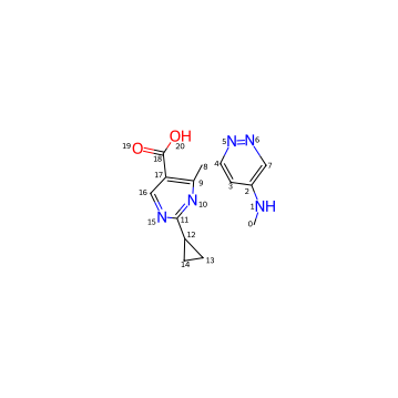 CNc1ccnnc1.Cc1nc(C2CC2)ncc1C(=O)O